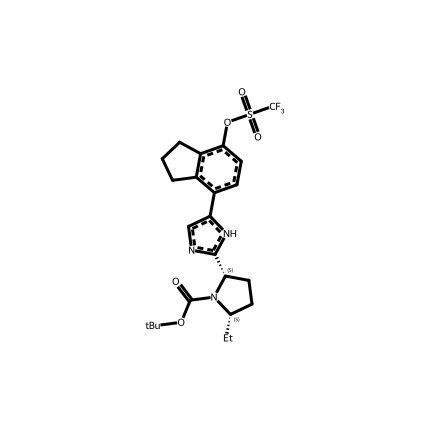 CC[C@H]1CC[C@@H](c2ncc(-c3ccc(OS(=O)(=O)C(F)(F)F)c4c3CCC4)[nH]2)N1C(=O)OC(C)(C)C